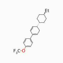 CC[C@H]1CC[C@H](C2C=CC(c3ccc(OC(F)(F)F)cc3)=CC2)CC1